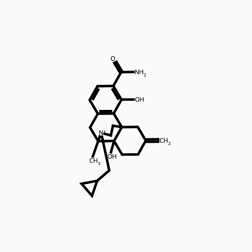 C=C1CCC2(O)C3Cc4ccc(C(N)=O)c(O)c4C2(CC[N+]3(C)CC2CC2)C1